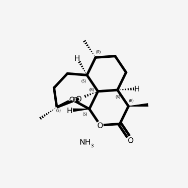 C[C@@H]1CC[C@H]2[C@@H](C)C(=O)O[C@@H]3O[C@]4(C)CC[C@@H]1[C@]32OO4.N